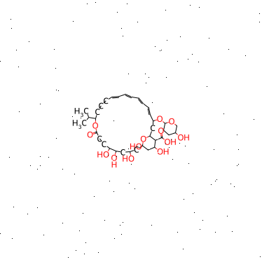 CC(C)C1CCC/C=C/C=C/C=C/C=C/C(OC2CCC(O)CO2)CC2OC(O)(CC(O)CC(O)C(O)CCC(=O)O1)CC(O)C2C(=O)O